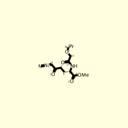 COC(=O)[C@H](CCC(=O)C=[N+]=[N-])NC(=O)COC(C)C